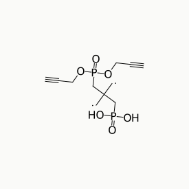 C#CCOP(=O)(CC([CH2])([CH2])CP(=O)(O)O)OCC#C